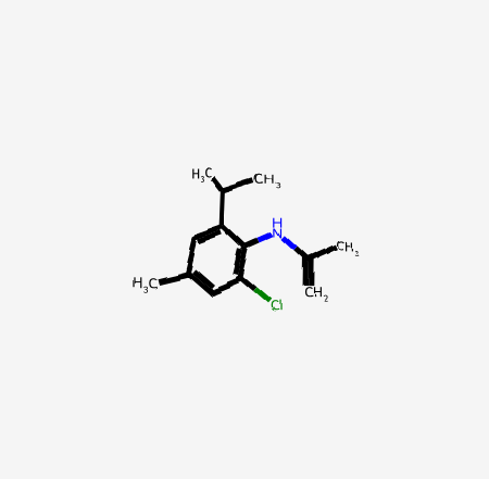 C=C(C)Nc1c(Cl)cc(C)cc1C(C)C